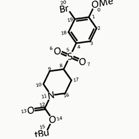 COc1ccc(S(=O)(=O)C2CCN(C(=O)OC(C)(C)C)CC2)cc1Br